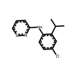 CC(C)c1cc(Cl)ccc1Nc1cccnn1